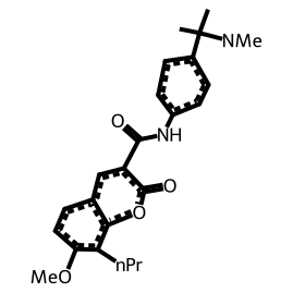 CCCc1c(OC)ccc2cc(C(=O)Nc3ccc(C(C)(C)NC)cc3)c(=O)oc12